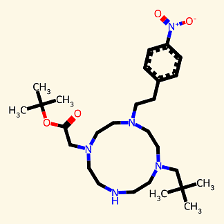 CC(C)(C)CN1CCNCCN(CC(=O)OC(C)(C)C)CCN(CCc2ccc([N+](=O)[O-])cc2)CC1